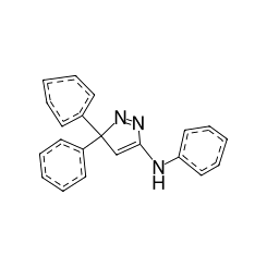 C1=C(Nc2ccccc2)N=NC1(c1ccccc1)c1ccccc1